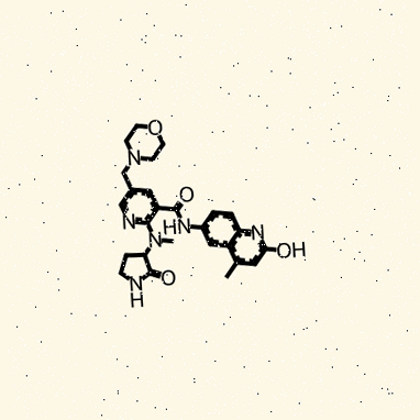 Cc1cc(O)nc2ccc(NC(=O)c3cc(CN4CCOCC4)cnc3N(C)C3CCNC3=O)cc12